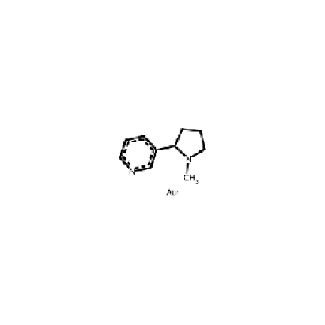 CN1CCCC1c1cccnc1.[Au]